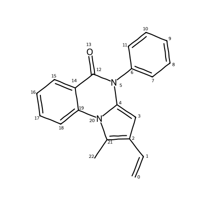 C=Cc1cc2n(-c3ccccc3)c(=O)c3ccccc3n2c1C